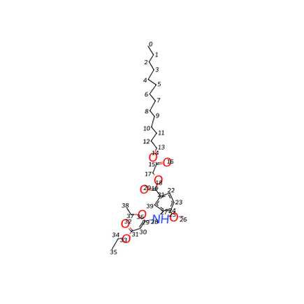 CCCCCCCCCCCCCCOC(=O)COC(=O)c1ccc(OC)c(NC(=CC(=O)OCC)OCC)c1